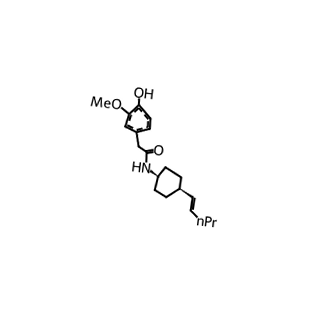 CCCC=C[C@H]1CC[C@@H](NC(=O)Cc2ccc(O)c(OC)c2)CC1